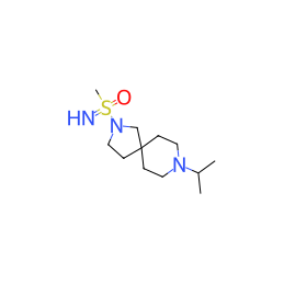 CC(C)N1CCC2(CC1)CCN(S(C)(=N)=O)C2